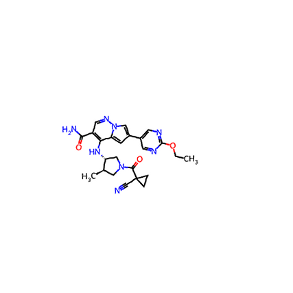 CCOc1ncc(-c2cc3c(N[C@@H]4CN(C(=O)C5(C#N)CC5)C[C@H]4C)c(C(N)=O)cnn3c2)cn1